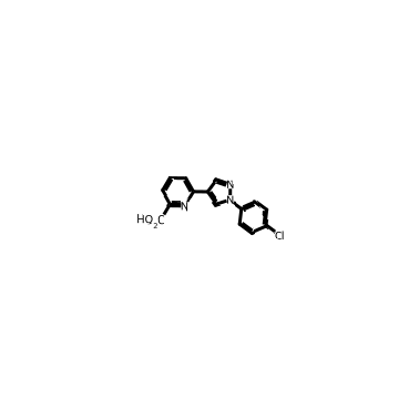 O=C(O)c1cccc(-c2cnn(-c3ccc(Cl)cc3)c2)n1